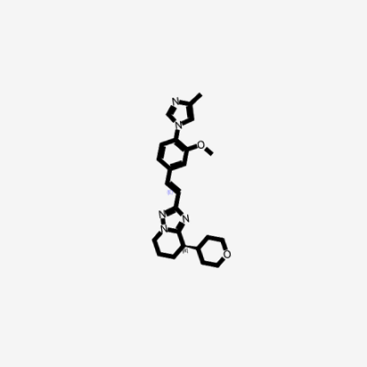 COc1cc(/C=C/c2nc3n(n2)CCC[C@@H]3C2CCOCC2)ccc1-n1cnc(C)c1